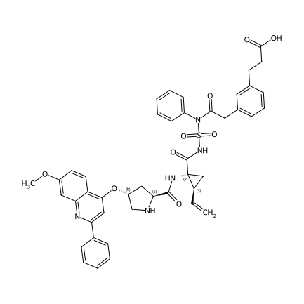 C=C[C@@H]1C[C@]1(NC(=O)[C@@H]1C[C@@H](Oc2cc(-c3ccccc3)nc3cc(OC)ccc23)CN1)C(=O)NS(=O)(=O)N(C(=O)Cc1cccc(CCC(=O)O)c1)c1ccccc1